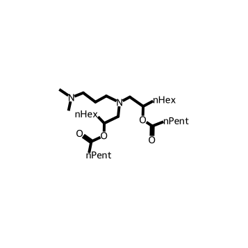 CCCCCCC(CN(CCCN(C)C)CC(CCCCCC)OC(=O)CCCCC)OC(=O)CCCCC